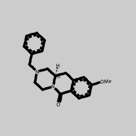 COc1ccc2c(c1)C[C@@H]1CN(Cc3ccccc3)CCN1C2=O